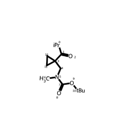 CC(C)C(=O)C1(CN(C)C(=O)OC(C)(C)C)CC1